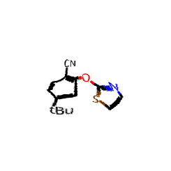 CC(C)(C)c1ccc(C#N)c(Oc2nccs2)c1